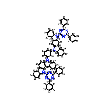 c1ccc(-c2nc(-c3ccccc3)nc(-n3c4ccccc4c4cc5c(cc43)c3ccccc3n5-c3cccc(-n4c5ccccc5c5c4ccc4c6ccccc6n(-c6nc(-c7ccccc7)nc(-c7ccccc7)n6)c45)c3)n2)cc1